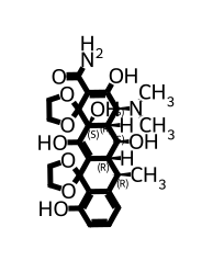 C[C@H]1c2cccc(O)c2C2(OCCO2)C2=C(O)[C@@]3(O)[C@@H]([C@@H](O)[C@@H]21)[C@H](N(C)C)C(O)=C(C(N)=O)C31OCCO1